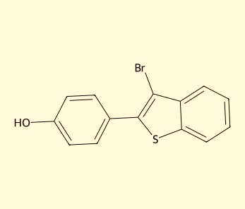 Oc1ccc(-c2sc3ccccc3c2Br)cc1